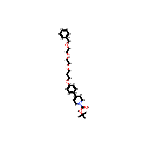 CC(C)(C)OC(=O)N1CC=C(c2ccc(OCCCOCCOCCOCc3ccccc3)cc2)CC1